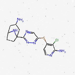 Nc1nccc(Sc2cnc(C34CCC(CC(N)C3)N4)nn2)c1Cl